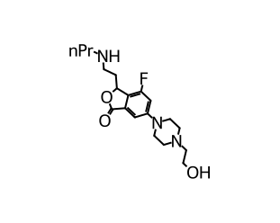 CCCNCCC1OC(=O)c2cc(N3CCN(CCO)CC3)cc(F)c21